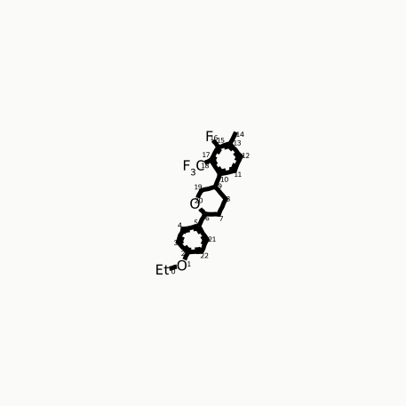 CCOc1ccc(C2CCC(c3ccc(C)c(F)c3C(F)(F)F)CO2)cc1